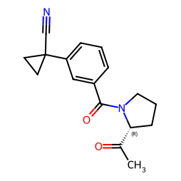 CC(=O)[C@H]1CCCN1C(=O)c1cccc(C2(C#N)CC2)c1